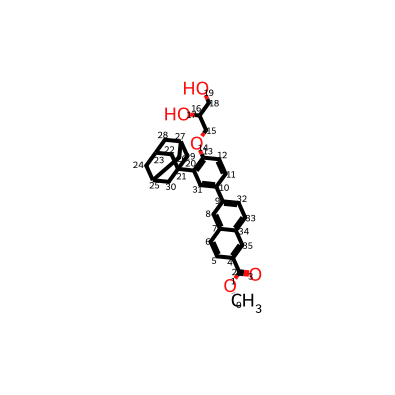 COC(=O)c1ccc2cc(-c3ccc(OCC(O)CO)c(C45CC6CC(CC(C6)C4)C5)c3)ccc2c1